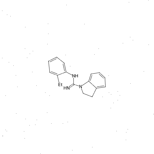 CCc1ccccc1NC(=N)N1CCc2ccccc21